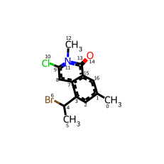 Cc1cc(C(C)Br)c2cc(Cl)n(C)c(=O)c2c1